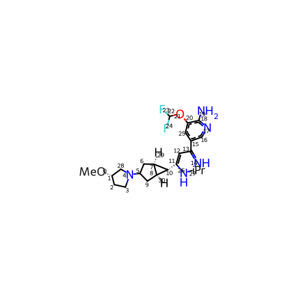 CO[C@H]1CCN(C2C[C@@H]3[C@H](C2)[C@H]3/C(=C/C(=N)c2cnc(N)c(OC(F)F)c2)NC(C)C)C1